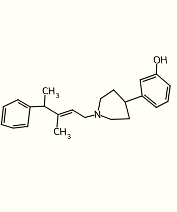 C/C(=C\CN1CCC(c2cccc(O)c2)CC1)C(C)c1ccccc1